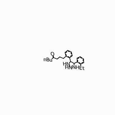 CCCCC(=O)CCCc1ccccc1C1NNNC1c1ccccc1CC